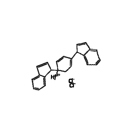 [Cl-].[Cl-].[Hf+2][C]1(C2C=Cc3ccccc32)C=CC(C2C=Cc3ccccc32)=CC1